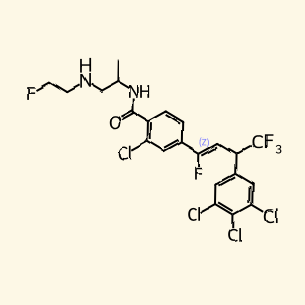 CC(CNCCF)NC(=O)c1ccc(/C(F)=C/C(c2cc(Cl)c(Cl)c(Cl)c2)C(F)(F)F)cc1Cl